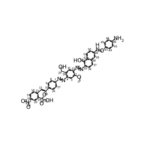 COc1cc(N=Nc2ccc(C=Cc3ccc([N+](=O)[O-])cc3S(=O)(=O)O)cc2)c(CO)cc1N=Nc1ccc2cc(NOc3ccc(N)cc3)ccc2c1O